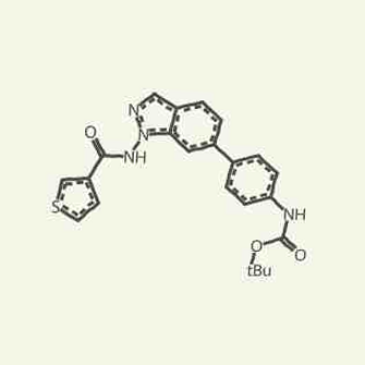 CC(C)(C)OC(=O)Nc1ccc(-c2ccc3cnn(NC(=O)c4ccsc4)c3c2)cc1